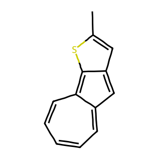 Cc1cc2cc3cccccc-3c2s1